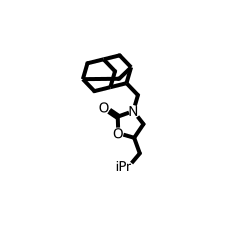 CC(C)CC1CN(CC2C3CC4CC(C3)CC2C4)C(=O)O1